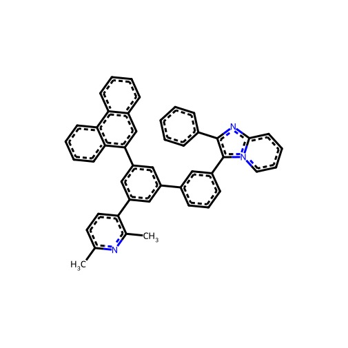 Cc1ccc(-c2cc(-c3cccc(-c4c(-c5ccccc5)nc5ccccn45)c3)cc(-c3cc4ccccc4c4ccccc34)c2)c(C)n1